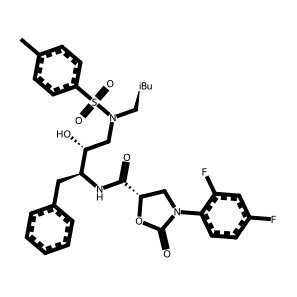 CC[C@H](C)CN(C[C@@H](O)[C@H](Cc1ccccc1)NC(=O)[C@@H]1CN(c2ccc(F)cc2F)C(=O)O1)S(=O)(=O)c1ccc(C)cc1